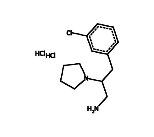 Cl.Cl.NCC(Cc1cccc(Cl)c1)N1CCCC1